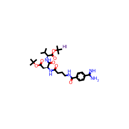 CC(C)[C@H](NC(=O)[C@H](CC(=O)OC(C)(C)C)NC(=O)CCCNC(=O)c1ccc(C(=N)N)cc1)C(=O)OC(C)(C)C.I